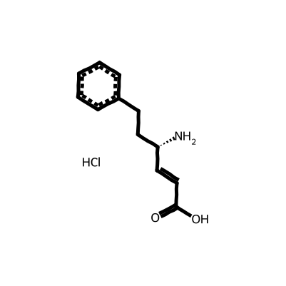 Cl.N[C@H](C=CC(=O)O)CCc1ccccc1